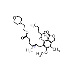 CCCC(C)Oc1c(C/C=C(\C)CCC(=O)OCCN2CCOCC2)c(OC)c(C)c2c1C(=O)OC2